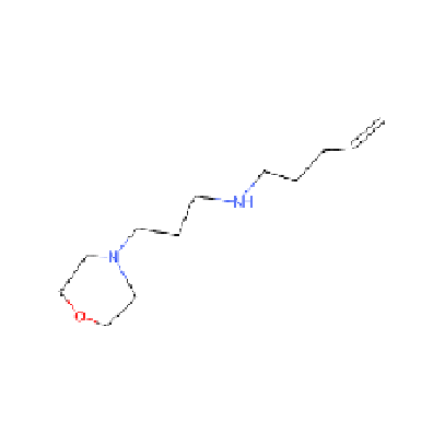 C=CCCCNCCCN1CCOCC1